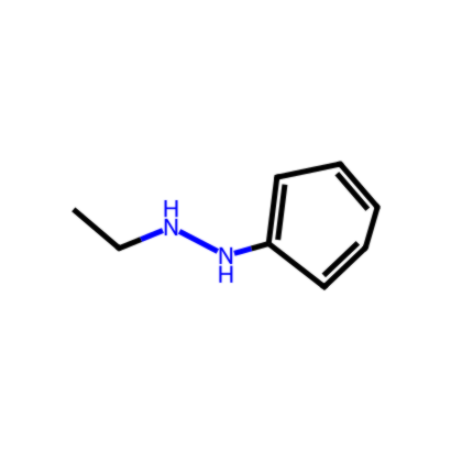 CCNNc1ccccc1